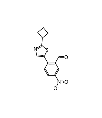 O=Cc1cc([N+](=O)[O-])ccc1-c1cnc(C2CCC2)s1